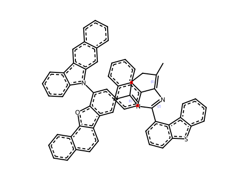 C\C1=C(c2cccc3ccccc23)/N=C(c2cccc3sc4ccccc4c23)\N=C(\c2cc(-n3c4ccccc4c4cc5ccccc5cc43)c3oc4c5ccccc5ccc4c3c2)CC1